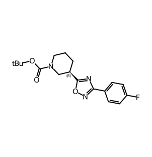 CC(C)(C)OC(=O)N1CCC[C@@H](c2nc(-c3ccc(F)cc3)no2)C1